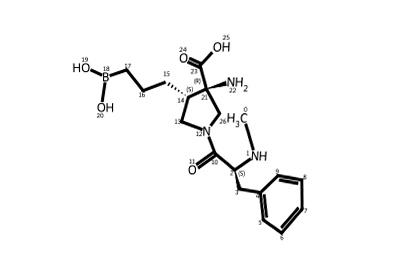 CN[C@@H](Cc1ccccc1)C(=O)N1C[C@H](CCCB(O)O)[C@](N)(C(=O)O)C1